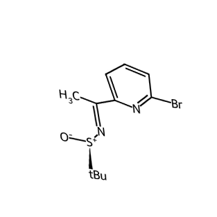 CC(=N[S@+]([O-])C(C)(C)C)c1cccc(Br)n1